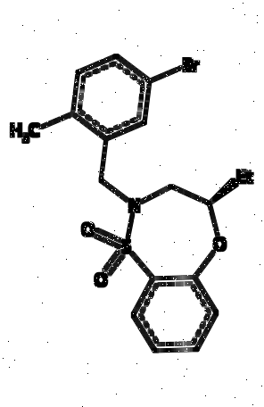 CC[C@@H]1CN(Cc2cc(Br)ccc2C)S(=O)(=O)c2ccccc2O1